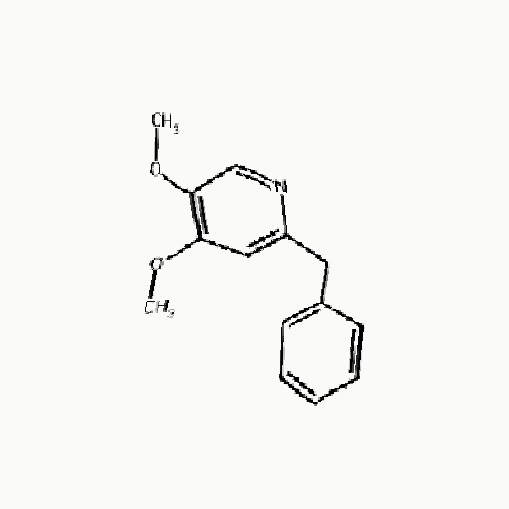 COc1cnc(Cc2ccccc2)cc1OC